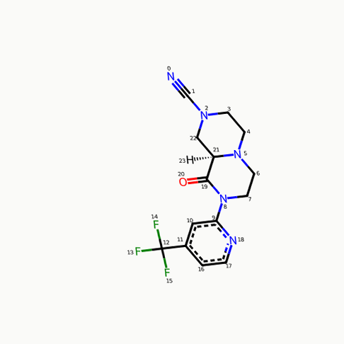 N#CN1CCN2CCN(c3cc(C(F)(F)F)ccn3)C(=O)[C@H]2C1